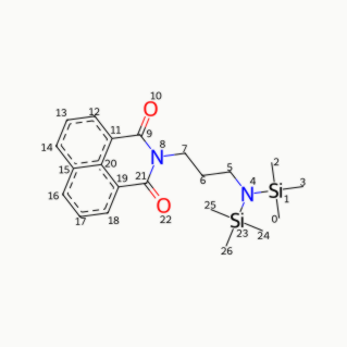 C[Si](C)(C)N(CCCN1C(=O)c2cccc3cccc(c23)C1=O)[Si](C)(C)C